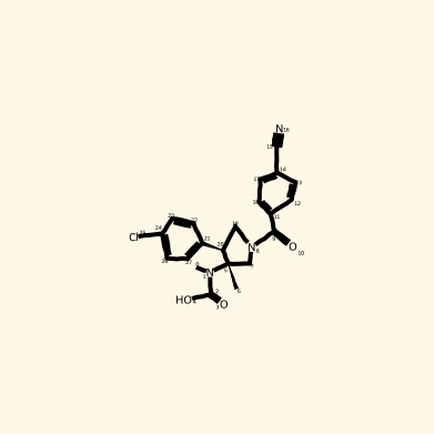 CN(C(=O)O)[C@@]1(C)CN(C(=O)c2ccc(C#N)cc2)C[C@@H]1c1ccc(Cl)cc1